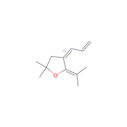 C=C/C=C1/CC(C)(C)OC1=C(C)C